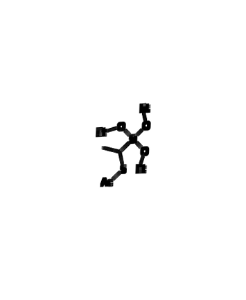 CCO[Si](OCC)(OCC)C(C)SC(C)=O